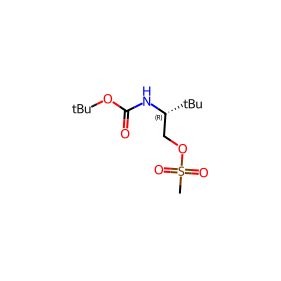 CC(C)(C)OC(=O)N[C@@H](COS(C)(=O)=O)C(C)(C)C